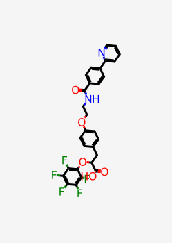 O=C(NCCOc1ccc(CC(Oc2c(F)c(F)c(F)c(F)c2F)C(=O)O)cc1)c1ccc(-c2ccccn2)cc1